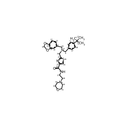 CC(C)(C)c1ccc(CN(Cc2ccc3c(c2)OCO3)Cc2nc(C(=O)NCCN3CCOCC3)cs2)cc1